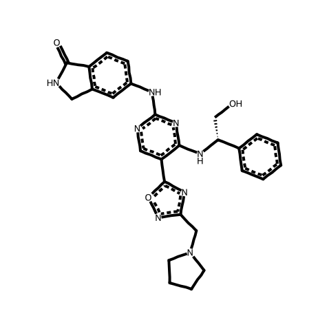 O=C1NCc2cc(Nc3ncc(-c4nc(CN5CCCC5)no4)c(N[C@H](CO)c4ccccc4)n3)ccc21